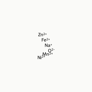 [Fe+2].[Mn+2].[Na+].[Ni+2].[O-2].[Zn+2]